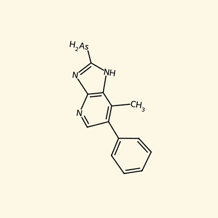 Cc1c(-c2ccccc2)cnc2nc([AsH2])[nH]c12